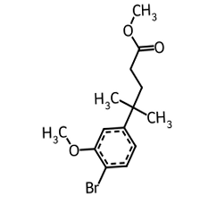 COC(=O)CCC(C)(C)c1ccc(Br)c(OC)c1